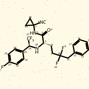 [C-]#[N+]C1(NC(=O)[C@H](CCC(F)(F)Cc2ccccc2)N[C@@H](c2ccc(F)cc2)C(F)(F)F)CC1